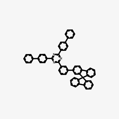 c1ccc(-c2ccc(-c3nc(-c4ccc(-c5ccccc5)cc4)nc(-c4cccc(-c5ccc6c(c5)C5(c7ccccc7-c7ccccc75)c5ccccc5-6)c4)n3)cc2)cc1